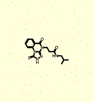 CC(C)CNC(=O)CCn1c(=O)c2ccccc2n2c(=S)[nH]nc12